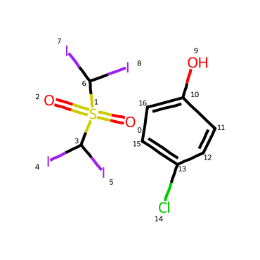 O=S(=O)(C(I)I)C(I)I.Oc1ccc(Cl)cc1